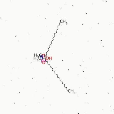 CCCCCCCCCCCCCCCCCCCC(=O)C(O)(C(=O)CCCCCCCCCCCCCCCCCCC)C([PH-])[N+](C)(C)C